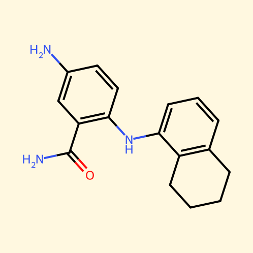 NC(=O)c1cc(N)ccc1Nc1cccc2c1CCCC2